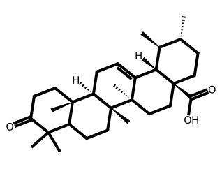 C[C@H]1[C@H](C)CC[C@]2(C(=O)O)CC[C@]3(C)C(=CC[C@@H]4[C@@]5(C)CCC(=O)C(C)(C)C5CC[C@]43C)[C@H]12